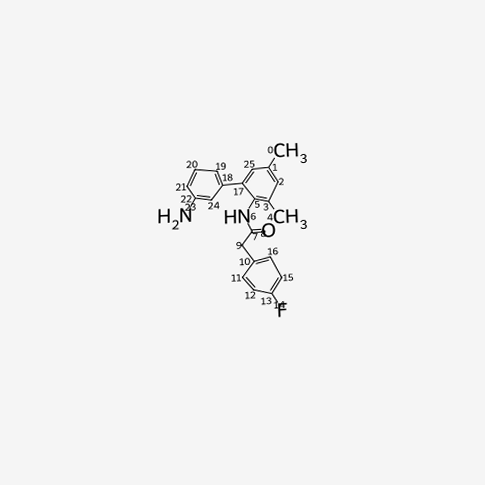 Cc1cc(C)c(NC(=O)Cc2ccc(F)cc2)c(-c2cccc(N)c2)c1